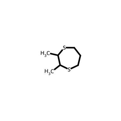 CC1SCCCSC1C